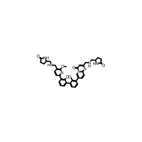 COc1nc(-c2cccc(-c3cccc(-c4ccc5nc(CNCC6CCC(=O)N6)cc(=O)n5c4)c3Cl)c2Cl)ccc1CNCC1CCC(=O)N1